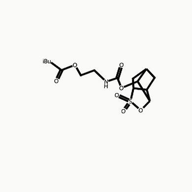 CCC(C)C(=O)OCCNC(=O)OC1C2CC3C1OS(=O)(=O)C3C2